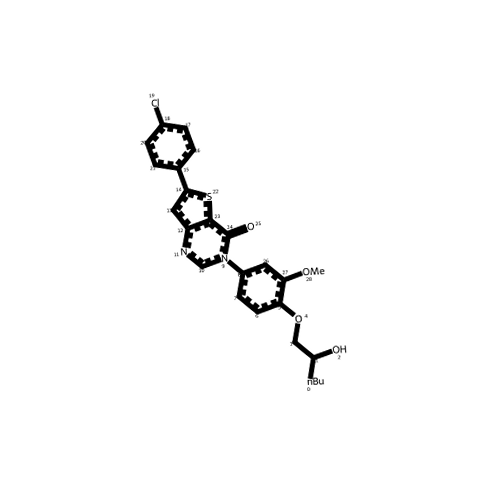 CCCCC(O)COc1ccc(-n2cnc3cc(-c4ccc(Cl)cc4)sc3c2=O)cc1OC